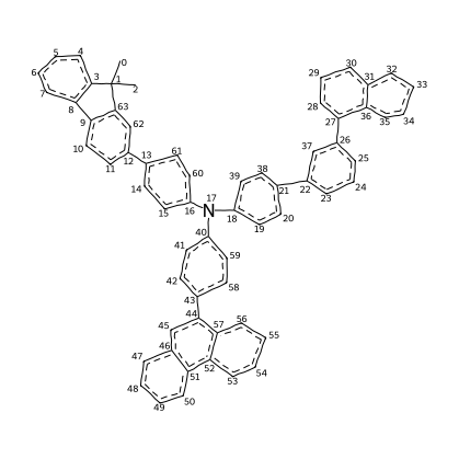 CC1(C)c2ccccc2-c2ccc(-c3ccc(N(c4ccc(-c5cccc(-c6cccc7ccccc67)c5)cc4)c4ccc(-c5cc6ccccc6c6ccccc56)cc4)cc3)cc21